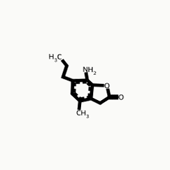 CCCc1cc(C)c2c(c1N)OC(=O)C2